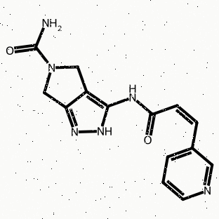 NC(=O)N1Cc2n[nH]c(NC(=O)/C=C\c3cccnc3)c2C1